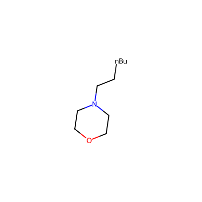 C[CH]CCCCN1CCOCC1